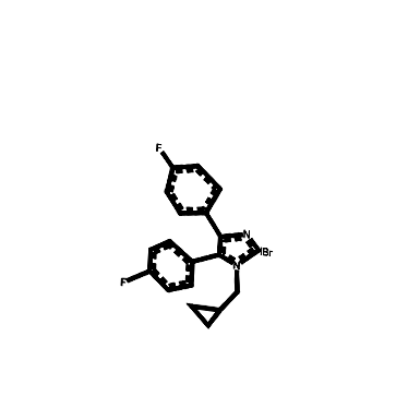 Br.Fc1ccc(-c2ncn(CC3CC3)c2-c2ccc(F)cc2)cc1